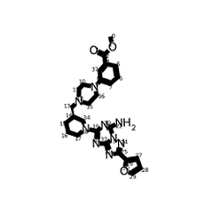 COC(=O)c1cccc(N2CCN(C[C@@H]3CCCN(c4nc(N)n5nc(-c6ccco6)nc5n4)C3)CC2)c1